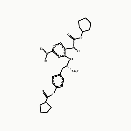 CCN(CC)c1ncc(N(CC)C(=O)NC2CCCCC2)c(N[C@@H](Cc2ccc(OC(=O)N3CCCC3)cc2)C(=O)O)n1